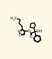 [CH2]CCCc1nocc1OC(=O)C(O)(c1ccccc1)C1CCCC1